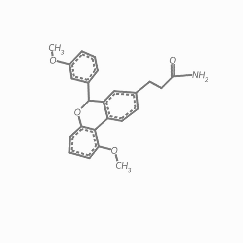 COc1cccc(C2Oc3cccc(OC)c3-c3ccc(CCC(N)=O)cc32)c1